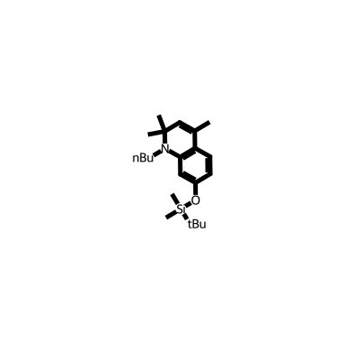 CCCCN1c2cc(O[Si](C)(C)C(C)(C)C)ccc2C(C)=CC1(C)C